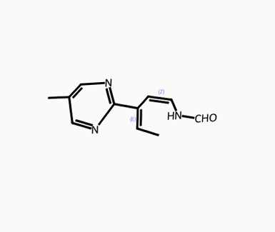 C/C=C(\C=C/NC=O)c1ncc(C)cn1